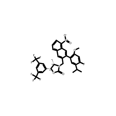 COc1cc(F)c(C(C)C)cc1-c1cc2c([N+](=O)[O-])cccc2cc1CN1C(=O)O[C@H](c2cc(C(F)(F)F)cc(C(F)(F)F)c2)[C@@H]1C